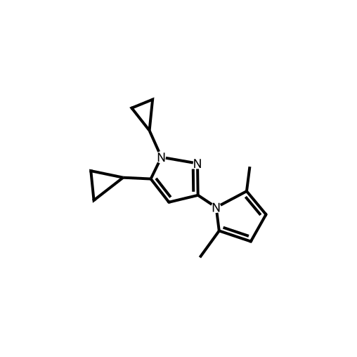 Cc1ccc(C)n1-c1cc(C2CC2)n(C2CC2)n1